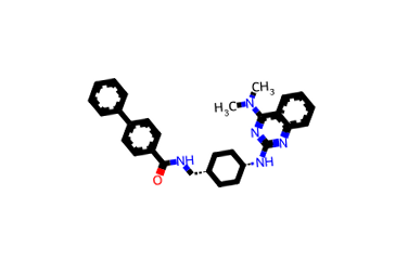 CN(C)c1nc(N[C@H]2CC[C@@H](CNC(=O)c3ccc(-c4ccccc4)cc3)CC2)nc2ccccc12